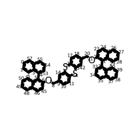 c1ccc2c(-c3c(OCc4ccc5c(c4)Sc4ccc(COc6ccc7ccccc7c6-c6cccc7ccccc67)cc4S5)ccc4ccccc34)cccc2c1